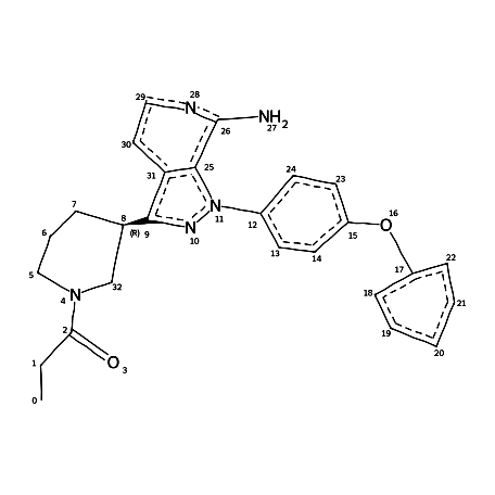 CCC(=O)N1CCC[C@@H](c2nn(-c3ccc(Oc4ccccc4)cc3)c3c(N)nccc23)C1